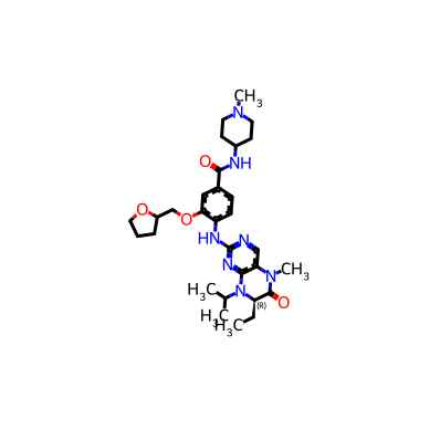 CC[C@@H]1C(=O)N(C)c2cnc(Nc3ccc(C(=O)NC4CCN(C)CC4)cc3OCC3CCCO3)nc2N1C(C)C